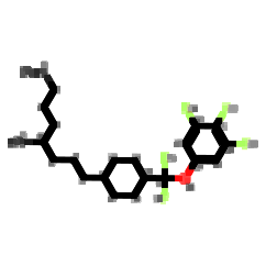 CCCC(C)CCCC(CCC)CCCC1CCC(C(F)(F)Oc2cc(F)c(F)c(F)c2)CC1